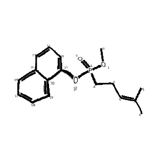 COP(=O)(CCC=C(C)C)Oc1cccc2ccccc12